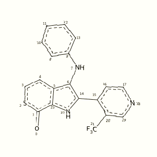 O=c1sccc2c(Nc3ccccc3)c(-c3ccncc3C(F)(F)F)[nH]c12